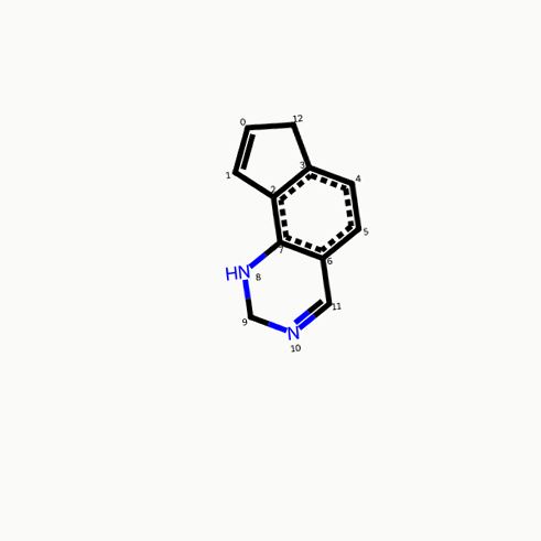 C1=Cc2c(ccc3c2NCN=C3)C1